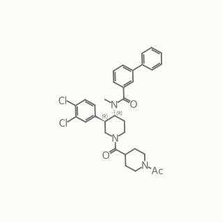 CC(=O)N1CCC(C(=O)N2CC[C@@H](N(C)C(=O)c3cccc(-c4ccccc4)c3)[C@H](c3ccc(Cl)c(Cl)c3)C2)CC1